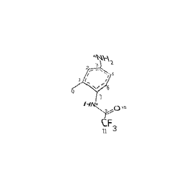 Cc1cc(N)ccc1NC(=O)C(F)(F)F